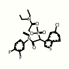 C=CN(C(=O)C(c1csc2ccc(Cl)cc12)P(C)(=O)OCC(=O)N(CC)CC)c1ccc(F)c(F)c1